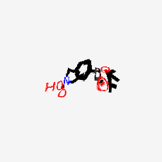 CC1(C)OB(c2ccc3c(c2)CN(C(=O)O)CC3)OC1(C)C